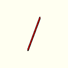 S=S=S=S=S=S=S=S=S=S=S=S=S=S=S=S=S=S=S=S=S=S=S=S=S=S=S=S=S=S=S=S=S=S=S=S=S=S=S=S=S=S=S=S=S=S=S=S=S=S=S=S=S=S=S=S=S=S=S=S=S=S=S=S=S=S=S=S=S=S=S=S=S=S=S=S=S=S=S=S=S=S=S=S=S=S=S=S=S=S=S=S=S=S=S=S=S=S=S=S=S=S=S=S=S=S=S=S=S=S=S=S=S=S=S=S=S=S=S=S=S=S=S=S=S=S=S=S=S=S=S=S=S=S